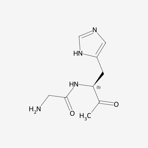 CC(=O)[C@H](Cc1cnc[nH]1)NC(=O)CN